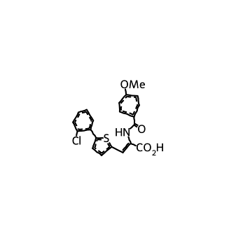 COc1ccc(C(=O)N/C(=C\c2ccc(-c3ccccc3Cl)s2)C(=O)O)cc1